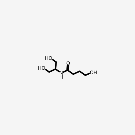 O=C(CCCO)NC(CO)CO